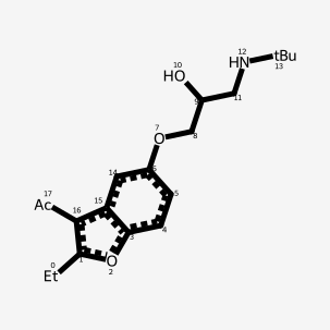 CCc1oc2ccc(OCC(O)CNC(C)(C)C)cc2c1C(C)=O